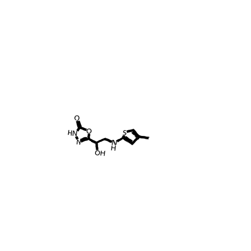 Cc1csc(NCC(O)c2n[nH]c(=O)o2)c1